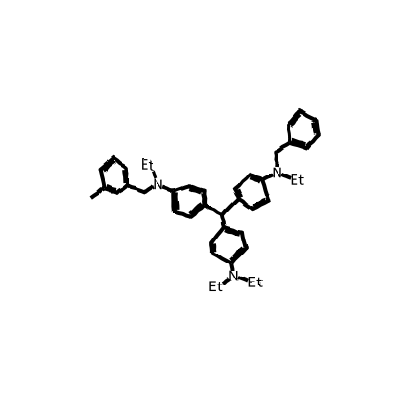 CCN(CC)c1ccc(C(c2ccc(N(CC)Cc3ccccc3)cc2)c2ccc(N(CC)Cc3cccc(C)c3)cc2)cc1